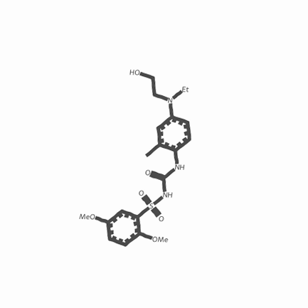 CCN(CCO)c1ccc(NC(=O)NS(=O)(=O)c2cc(OC)ccc2OC)c(C)c1